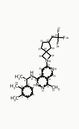 Cc1cccc([C@@H](C)Nc2nnc(C)c3cnc(N4CC5(CCC(CC(F)(F)F)C5)C4)cc23)c1C